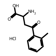 Cc1ccccc1C(=O)CC(N)C(=O)O.Cl